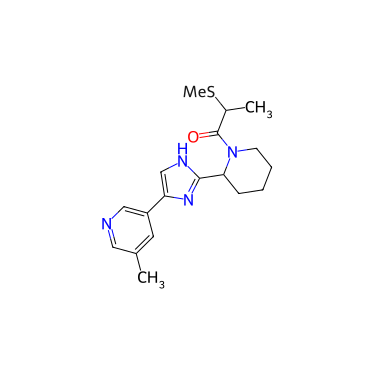 CSC(C)C(=O)N1CCCCC1c1nc(-c2cncc(C)c2)c[nH]1